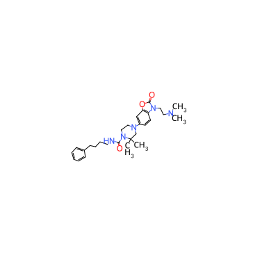 CN(C)CCn1c(=O)oc2cc(N3CCN(C(=O)NCCCCc4ccccc4)C(C)(C)C3)ccc21